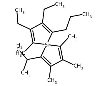 CCCC1=C(CC)C(CC)=C(C)[Si]12C(C)=C(C)C(C)=C2C(C)C